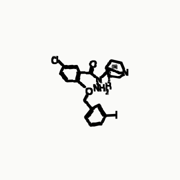 NN(C(=O)c1cc(Cl)ccc1OCc1cccc(I)c1)[C@@H]1CN2CCC1CC2